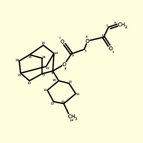 C=CC(=O)OCC(=O)OC1(C2CCC(C)CC2)C2CC3CC(C2)CC1C3